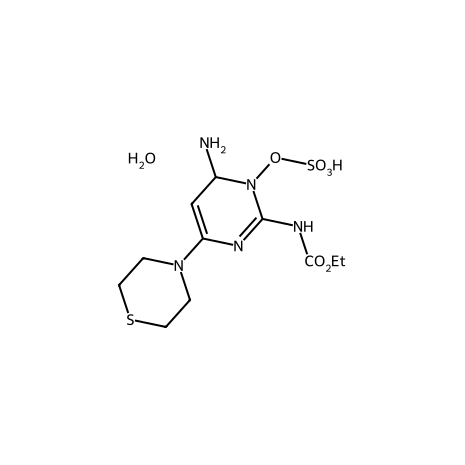 CCOC(=O)NC1=NC(N2CCSCC2)=CC(N)N1OS(=O)(=O)O.O